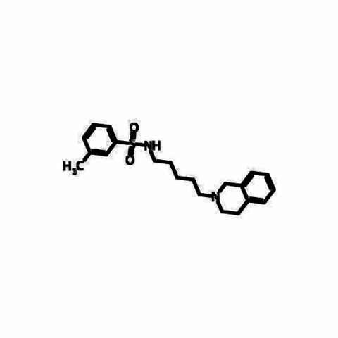 Cc1cccc(S(=O)(=O)NCCCCCN2CCc3ccccc3C2)c1